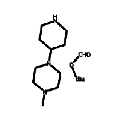 CC(C)(C)OC=O.CN1CCN(C2CCNCC2)CC1